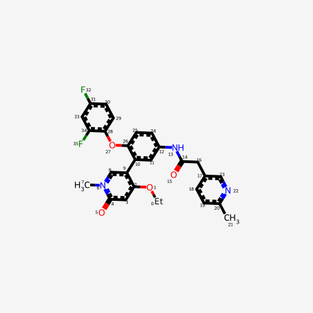 CCOc1cc(=O)n(C)cc1-c1cc(NC(=O)Cc2ccc(C)nc2)ccc1Oc1ccc(F)cc1F